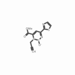 C#CCN1C(C(=O)OC)=CC(c2nccs2)=N[S+]1[O-]